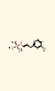 CC(C)(C)[Si](C)(C)OC=CCc1cccc(Cl)c1